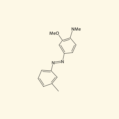 CNc1ccc(N=Nc2cccc(C)c2)cc1OC